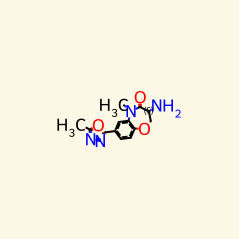 Cc1nnc(-c2ccc3c(c2)N(C)C(=O)[C@@H](N)CO3)o1